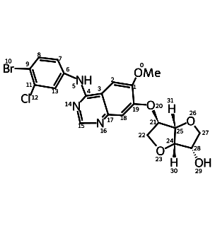 COc1cc2c(Nc3ccc(Br)c(Cl)c3)ncnc2cc1O[C@@H]1CO[C@@H]2[C@H]1OC[C@@H]2O